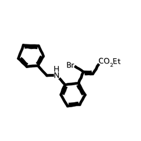 CCOC(=O)C=C(Br)c1ccccc1NCc1ccccc1